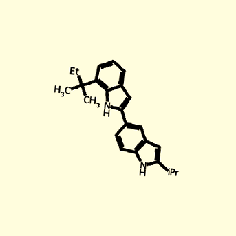 CCC(C)(C)c1cccc2cc(-c3ccc4[nH]c(C(C)C)cc4c3)[nH]c12